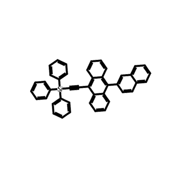 C(#C[Si](c1ccccc1)(c1ccccc1)c1ccccc1)c1c2ccccc2c(-c2ccc3ccccc3c2)c2ccccc12